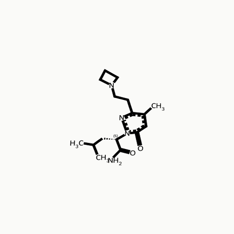 Cc1cc(=O)n([C@@H](CC(C)C)C(N)=O)nc1CCN1CCC1